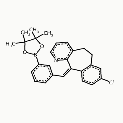 CC1(C)OB(c2cccc(C=C3c4ccc(Cl)cc4CCc4cccnc43)c2)OC1(C)C